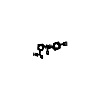 O=C(O)c1cccc(NC(=O)c2ccc(Cl)cc2)c1